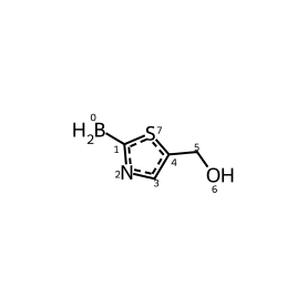 Bc1ncc(CO)s1